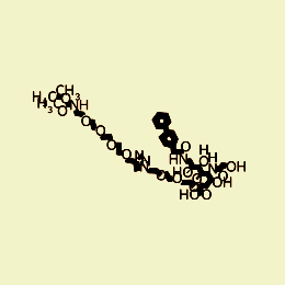 CC(C)(C)OC(=O)NCCOCCOCCOCCOCc1cn(CCOCCOCCO[C@]2(C(=O)O)C[C@H](O)[C@@H](NC(=O)CO)[C@H]([C@H](O)[C@H](O)CNC(=O)Cc3ccc(-c4ccccc4)cc3)O2)nn1